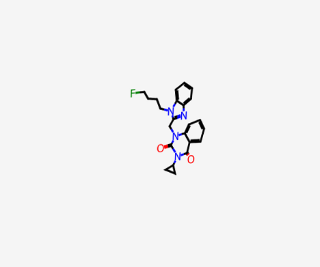 O=c1c2ccccc2n(Cc2nc3ccccc3n2CCCCF)c(=O)n1C1CC1